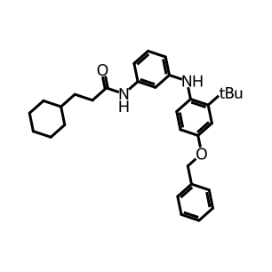 CC(C)(C)c1cc(OCc2ccccc2)ccc1Nc1cccc(NC(=O)CCC2CCCCC2)c1